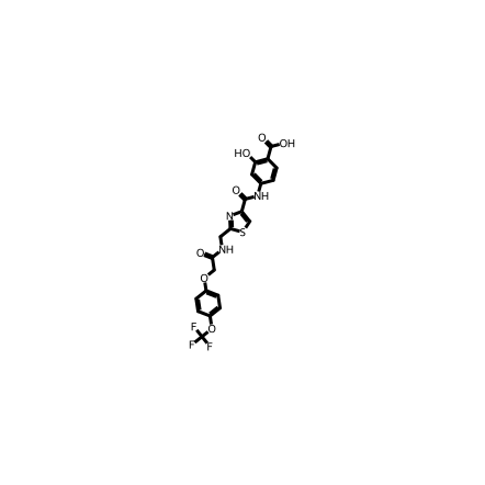 O=C(COc1ccc(OC(F)(F)F)cc1)NCc1nc(C(=O)Nc2ccc(C(=O)O)c(O)c2)cs1